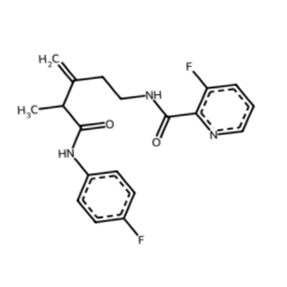 C=C(CCNC(=O)c1ncccc1F)C(C)C(=O)Nc1ccc(F)cc1